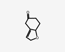 O=C1CCC2OCC=C2C1